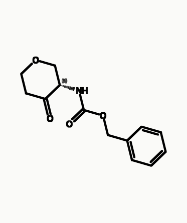 O=C(N[C@H]1COCCC1=O)OCc1ccccc1